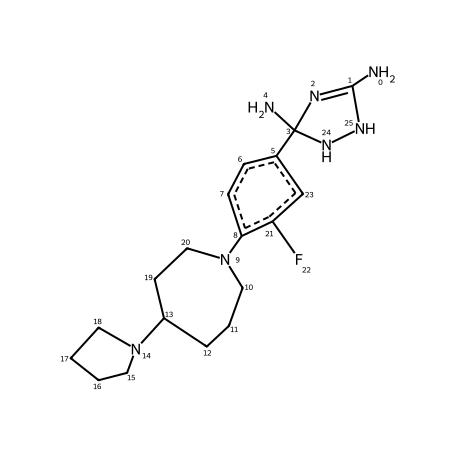 NC1=NC(N)(c2ccc(N3CCCC(N4CCCC4)CC3)c(F)c2)NN1